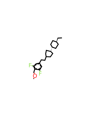 CC[C@H]1CC[C@H](C2CCC(CCc3cc(F)c(COC)c(F)c3)CC2)CC1